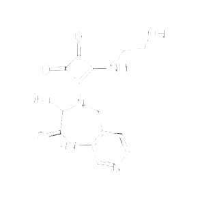 CCC(C)C1C(=O)Nc2cnccc2CN1c1c(NCCO)c(=O)c1=O